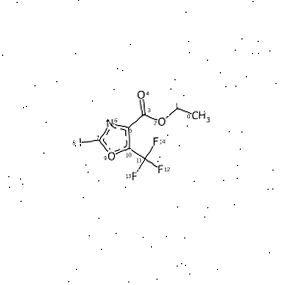 CCOC(=O)c1nc(I)oc1C(F)(F)F